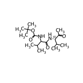 CC(=O)[C@@H](NC(=O)C(NC(=O)OC(C)(C)C)C(C)C)C(C)C